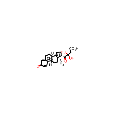 C[C@]12CC[C@H]3[C@@H](CCC4=CC(=O)C=C[C@@]43C)[C@@H]1CC[C@@H]2C(=O)C(O)(O)CC(=O)O